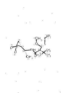 CO[C@H](CCN)C(C(=O)N[C@H](C)[C@H]1CC1(Cl)Cl)C(C)(C)C